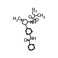 CC(C)S(=O)(=O)NC1CN(C)CC1c1ccc(NC(=O)c2ccccc2)cc1